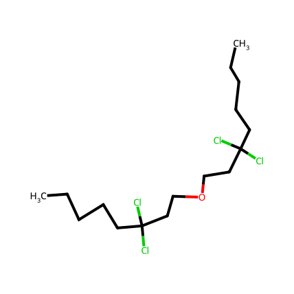 CCCCCC(Cl)(Cl)CCOCCC(Cl)(Cl)CCCCC